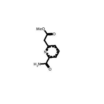 COC(=O)Cc1cccc(C(N)=O)n1